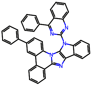 c1ccc(-c2ccc3c(c2)c2ccccc2c2nc4c5ccccc5n(-c5nc(-c6ccccc6)c6ccccc6n5)c4n32)cc1